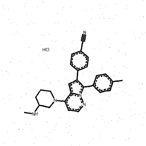 CNC1CCCN(c2ccnn3c(-c4ccc(C)cc4)c(-c4ccc(C#N)cc4)cc23)C1.Cl